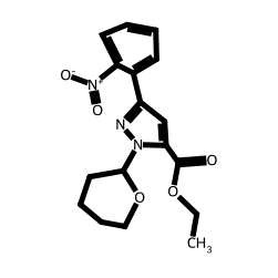 CCOC(=O)c1cc(-c2ccccc2[N+](=O)[O-])nn1C1CCCCO1